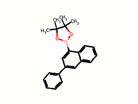 CC1(C)OB(c2cc(-c3ccccc3)cc3ccccc23)OC1(C)C